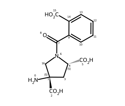 N[C@@]1(C(=O)O)C[C@@H](C(=O)O)N(C(=O)c2ccccc2C(=O)O)C1